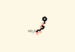 O=C(O)C(=O)CC(=O)c1ccc(OCc2ccccc2)s1